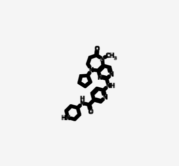 CN1C(=O)CCN(C2CCCC2)c2nc(Nc3ccc(C(=O)NC4CCNCC4)cn3)ncc21